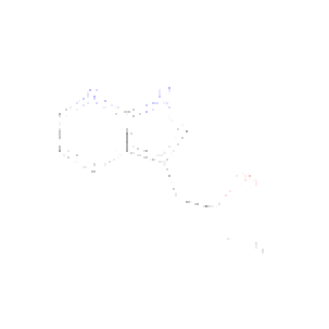 O=C(O)[C@@H](O)Cc1c[nH]c2ncccc12